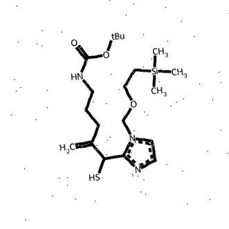 C=C(CCCNC(=O)OC(C)(C)C)C(S)c1nccn1COCC[Si](C)(C)C